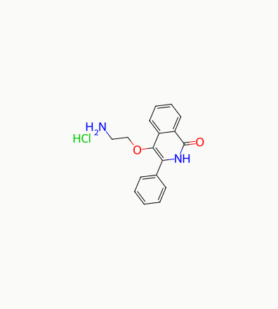 Cl.NCCOc1c(-c2ccccc2)[nH]c(=O)c2ccccc12